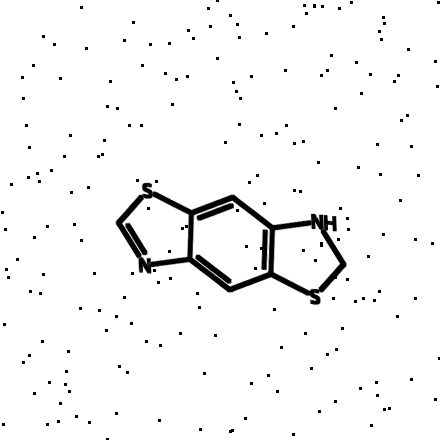 c1nc2cc3c(cc2s1)NCS3